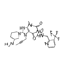 CC#CCN1c2c(n(C)c(=O)n(ONCc3ncccc3C(F)(F)F)c2=O)NC1N1CCCC(N)C1